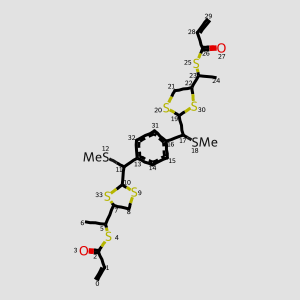 C=CC(=O)SC(C)C1CSC(C(SC)c2ccc(C(SC)C3SCC(C(C)SC(=O)C=C)S3)cc2)S1